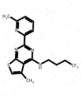 Cc1cccc(-c2nc(NCCCC(F)(F)F)c3c(C)csc3n2)n1